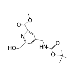 COC(=O)c1cc(CNC(=O)OC(C)(C)C)cc(CO)n1